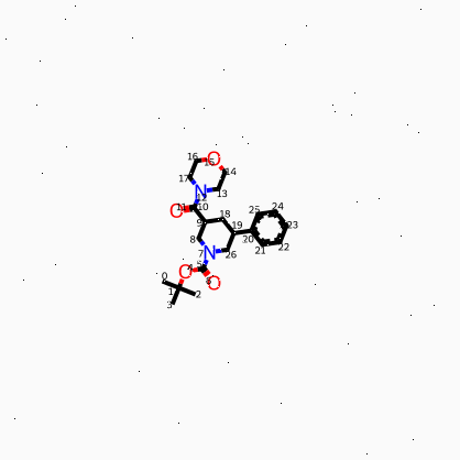 CC(C)(C)OC(=O)N1CC(C(=O)N2CCOCC2)CC(c2ccccc2)C1